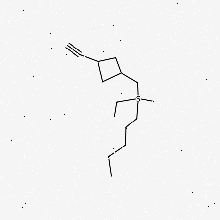 C#CC1CC(CS(C)(CC)CCCCC)C1